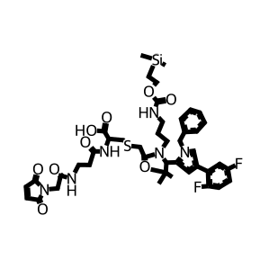 CC(C)(C)C(c1cc(-c2cc(F)ccc2F)cn1Cc1ccccc1)N(CCCNC(=O)OCC[Si](C)(C)C)C(=O)CSCC(NC(=O)CCNC(=O)CN1C(=O)C=CC1=O)C(=O)O